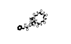 CN(CC(N)=O)C(=O)CN(C)C(=O)CN(C)C(=O)CN(C)C(=O)C[C@@H]1O[C@H](COC(=O)NCc2ccccc2)[C@H]2OC(C)(C)O[C@H]21